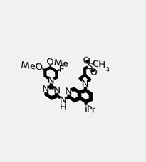 CO[C@H]1[C@@H](F)CN(c2nccc(Nc3cc4c(C(C)C)ccc(N5CC(CS(C)(=O)=O)C5)c4cn3)n2)C[C@H]1OC